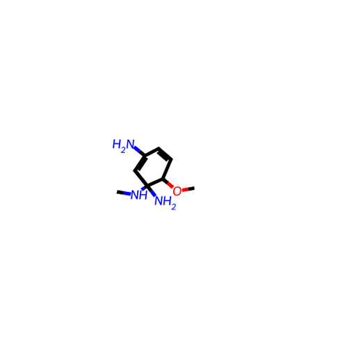 CNC1(N)C=C(N)C=CC1OC